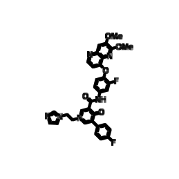 COc1cc2nccc(Oc3ccc(NC(=O)c4cn(CCn5ccnc5)cc(-c5ccc(F)cc5)c4=O)cc3F)c2nc1OC